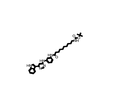 CC(C)(C)OC(=O)NCCCCCCCCCC(=O)Nc1cccc(Nc2cc(-c3c[nH]c4ccccc34)ncn2)c1